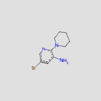 Nc1cc(Br)cnc1N1CCCCC1